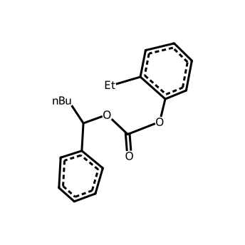 CCCCC(OC(=O)Oc1ccccc1CC)c1ccccc1